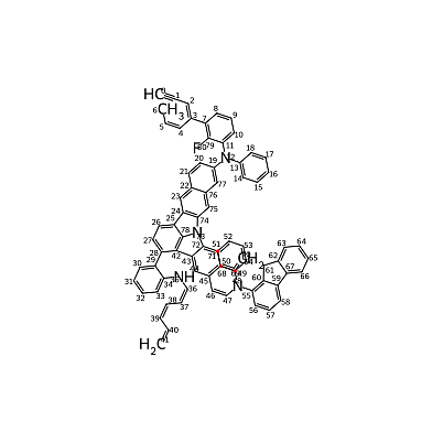 C#C/C=C(\C=C/C)c1cccc(N(c2ccccc2)c2ccc3cc4c5ccc(-c6ccccc6N/C=C\C=C/C=C)c6c7cc(/C=C\N(c8ccccc8)c8cccc9c8Cc8ccccc8-9)c(C=C)cc7n(c4cc3c2)c56)c1F